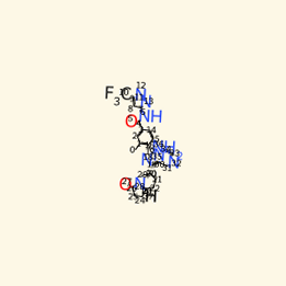 Cc1cc(C(=O)Nc2cc(C(F)(F)F)n(C)n2)ccc1C1=NC([C@@H]2CC[C@H]3CCC(=O)N3C2)=C2C=NC=C[N+]12N